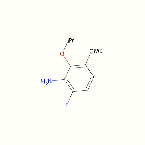 COc1ccc(I)c(N)c1OC(C)C